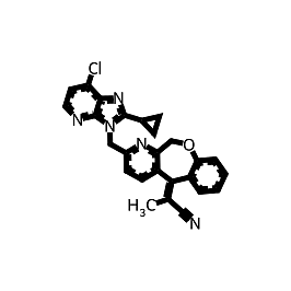 CC(C#N)=C1c2ccccc2OCc2nc(Cn3c(C4CC4)nc4c(Cl)ccnc43)ccc21